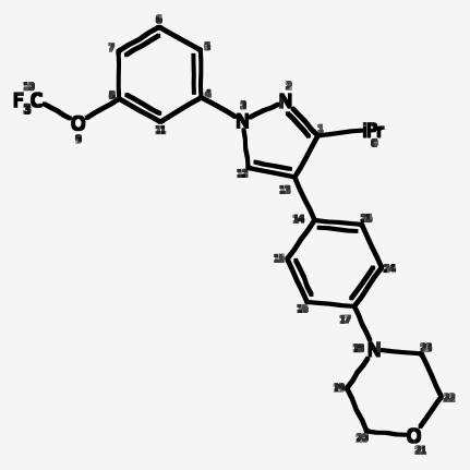 CC(C)c1nn(-c2cccc(OC(F)(F)F)c2)cc1-c1ccc(N2CCOCC2)cc1